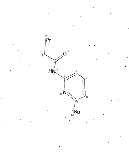 CC(C)CC(=O)Nc1cccc(C(C)(C)C)n1